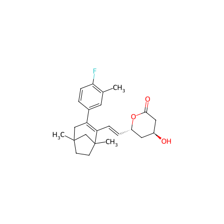 Cc1cc(C2=C(C=C[C@H]3C[C@H](O)CC(=O)O3)C3(C)CCC(C)(C2)C3)ccc1F